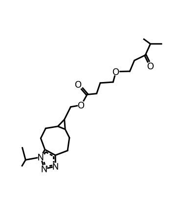 CC(C)C(=O)CCOCCCC(=O)OCC1C2CCc3nnn(C(C)C)c3CCC21